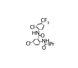 CC(C)C(=O)Nc1ccc(Cl)cc1C(=O)Nc1ccc(C(F)(F)F)cc1Cl